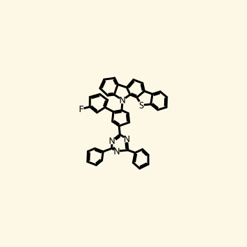 Fc1cccc(-c2cc(-c3nc(-c4ccccc4)nc(-c4ccccc4)n3)ccc2-n2c3ccccc3c3ccc4c5ccccc5sc4c32)c1